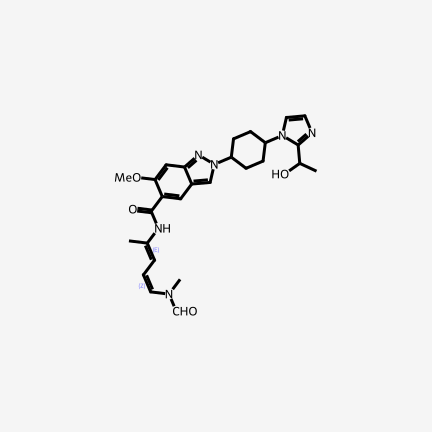 COc1cc2nn(C3CCC(n4ccnc4C(C)O)CC3)cc2cc1C(=O)N/C(C)=C/C=C\N(C)C=O